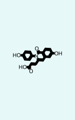 O=C(O)C=Cc1cc2cc(O)ccc2c(=O)n1-c1ccc(O)cc1